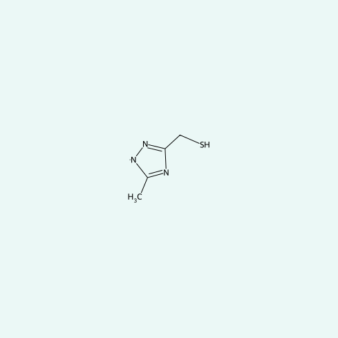 CC1=NC(CS)=N[N]1